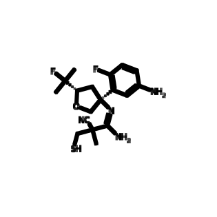 CC(C#N)(CS)/C(N)=N\[C@@]1(c2cc(N)ccc2F)CO[C@H](C(C)(C)F)C1